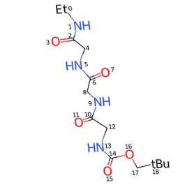 CCNC(=O)CNC(=O)CNC(=O)CNC(=O)OCC(C)(C)C